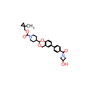 CC1(COC(=O)N2CCC(C3OCc4cc(-c5ccc(C(=O)N6CC(O)C6)cc5)ccc4O3)CC2)CC1